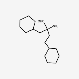 NC(C=O)(CCC1CCCCC1)CC1CCCCC1